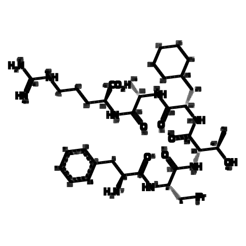 CC(C)C[C@H](NC(=O)[C@@H](N)Cc1ccccc1)C(=O)N[C@H](C(=O)N[C@@H](CC1CCCCC1)C(=O)N[C@@H](C)C(=O)N[C@@H](CCCNC(=N)N)C(=O)O)[C@@H](C)O